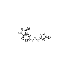 O=C1CC=C(CCCC(=O)ON2C(=O)CCC2=O)O1